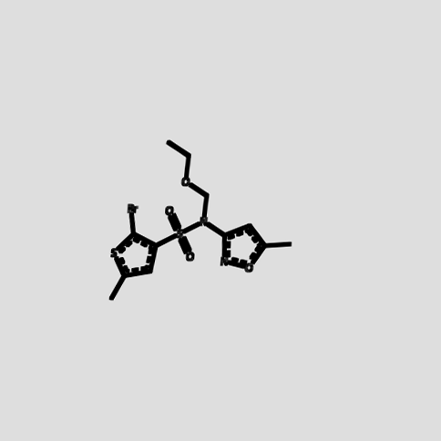 CCOCN(c1cc(C)on1)S(=O)(=O)c1cc(C)sc1Br